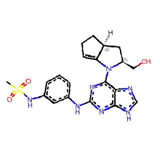 CS(=O)(=O)Nc1cccc(Nc2nc(N3C4=CCC[C@H]4C[C@H]3CO)c3nc[nH]c3n2)c1